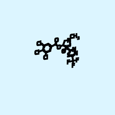 CN1CC(OC(=O)c2cc(Cl)c(Cl)c(Cl)c2)[N+]([O-])(c2nnc(C(F)(F)F)s2)C1